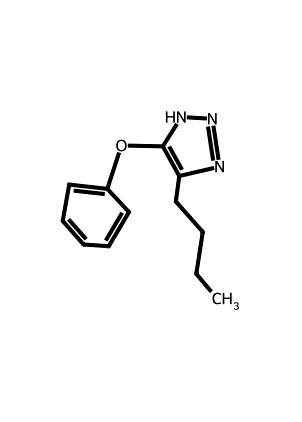 CCCCc1nn[nH]c1Oc1ccccc1